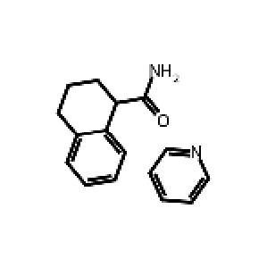 NC(=O)C1CCCc2ccccc21.c1ccncc1